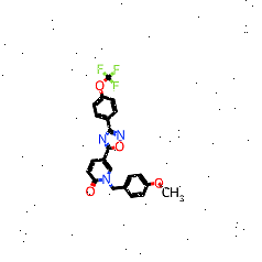 COc1ccc(Cn2cc(-c3nc(-c4ccc(OC(F)(F)F)cc4)no3)ccc2=O)cc1